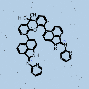 CC1(C)c2cccc(-c3ccc4c5c(cccc35)/C(=N/c3ccccn3)N4)c2Oc2c(-c3ccc4c5c(cccc35)/C(=N/c3ccccn3)N4)cccc21